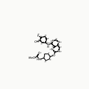 COC(=O)NC1CCC(Oc2ncc3ncnc(Nc4ccc(F)c(Cl)c4)c3n2)CC1